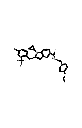 CCSc1ccc(CNC(=O)c2ccc3c(c2)cc(Cc2ccc(F)cc2C(F)(F)F)n3C2CC2)cc1